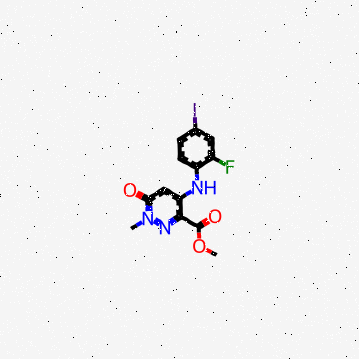 COC(=O)c1nn(C)c(=O)cc1Nc1ccc(I)cc1F